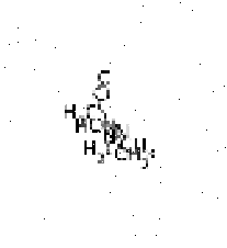 CC(CC(O)n1cnc(C(C)(C)C)n1)c1ccc(Cl)cc1